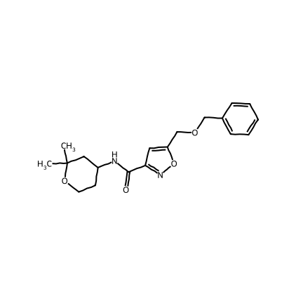 CC1(C)CC(NC(=O)c2cc(COCc3ccccc3)on2)CCO1